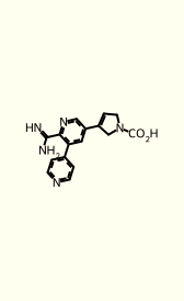 N=C(N)c1ncc(C2=CCN(C(=O)O)C2)cc1-c1ccncc1